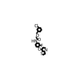 O=C(COCc1cccc(Cl)c1)Nc1ccc(Oc2ccnc3ccsc23)c(F)c1